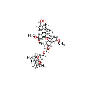 COc1ccc(C2(c3ccc(OCCOCCC[Si](C)(O[Si](C)(C)C)O[Si](C)(C)C)cc3)C=Cc3c4c(c5cc(OC)c(OC)cc5c3O2)-c2ccc(CO)cc2C4(C)C)cc1